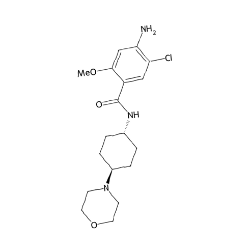 COc1cc(N)c(Cl)cc1C(=O)N[C@H]1CC[C@H](N2CCOCC2)CC1